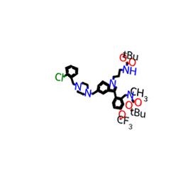 CN(Cc1cc(OC(F)(F)F)ccc1-c1cn(CCCNC(=O)OC(C)(C)C)c2ccc(CN3CCN(Cc4ccccc4Cl)CC3)cc12)C(=O)OC(C)(C)C